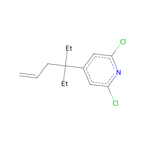 C=CCC(CC)(CC)c1cc(Cl)nc(Cl)c1